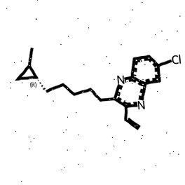 C=Cc1nc2cc(Cl)ccc2nc1CCCCC[C@@H]1CC1C